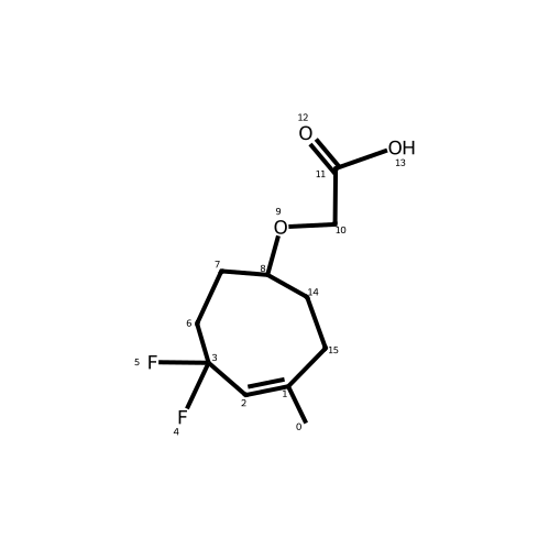 C/C1=C/C(F)(F)CCC(OCC(=O)O)CC1